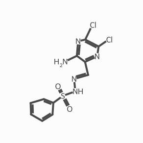 Nc1nc(Cl)c(Cl)nc1C=NNS(=O)(=O)c1ccccc1